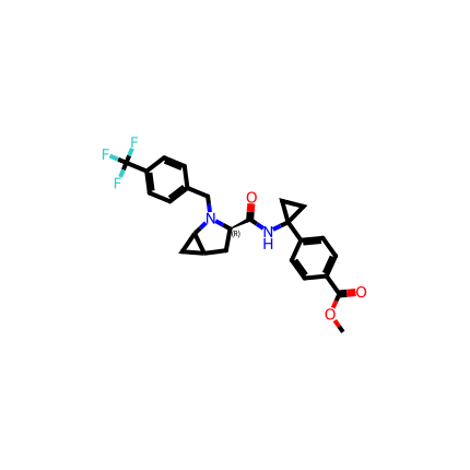 COC(=O)c1ccc(C2(NC(=O)[C@H]3CC4CC4N3Cc3ccc(C(F)(F)F)cc3)CC2)cc1